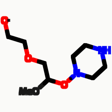 COC(COCC[O])ON1CCNCC1